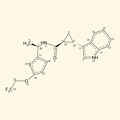 C[C@@H](NC(=O)[C@H]1C[C@@H]1c1c[nH]c2ccccc12)c1ccc(OCC(F)(F)F)s1